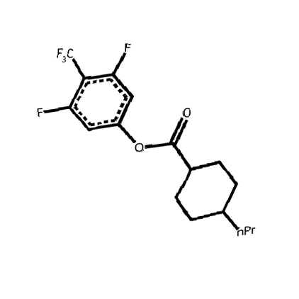 CCCC1CCC(C(=O)Oc2cc(F)c(C(F)(F)F)c(F)c2)CC1